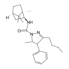 CCCCC1=NN(C(=O)N[C@H]2C[C@H]3CC[C@]2(C)C3(C)C)C(C)C1c1ccccc1